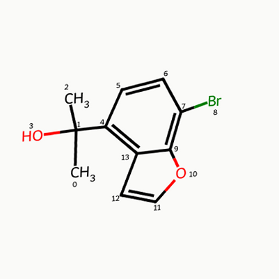 CC(C)(O)c1ccc(Br)c2occc12